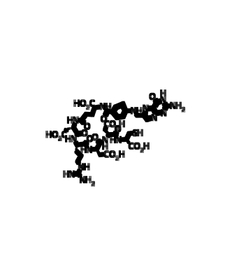 N=C(N)NCCC[C@H](NC(=O)[C@H](CC(=O)O)NC(=O)CC[C@H](NC(=O)c1ccc(NCc2cnc3nc(N)[nH]c(=O)c3n2)cc1)C(=O)O)C(=O)N[C@H](CC(=O)O)C(=O)N[C@@H](CC(=O)O)C(=O)N[C@@H](CS)C(=O)O